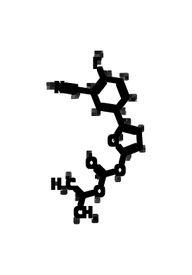 CC(C)OC(=O)Oc1ccc(-c2ccc(F)c(C#N)c2)o1